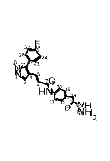 Cn1ncc(C=CC(=O)Nc2ccc(CC(=O)NN)cc2)c1-c1ccc(F)cc1